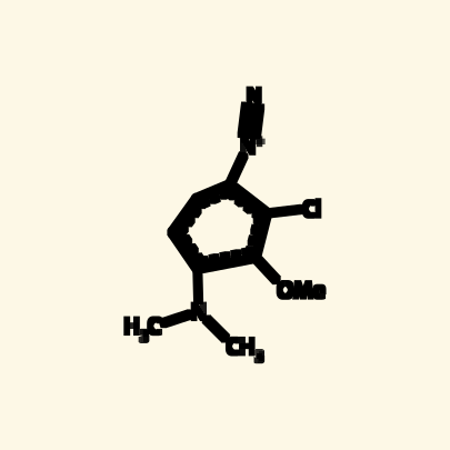 COc1c(N(C)C)ccc([N+]#N)c1Cl